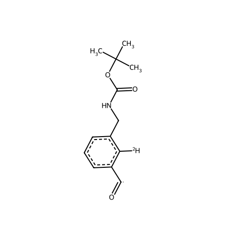 [2H]c1c([C]=O)cccc1CNC(=O)OC(C)(C)C